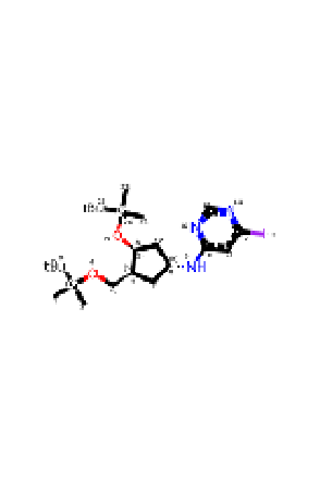 CC(C)(C)[Si](C)(C)OC[C@@H]1C[C@@H](Nc2cc(I)ncn2)C[C@@H]1O[Si](C)(C)C(C)(C)C